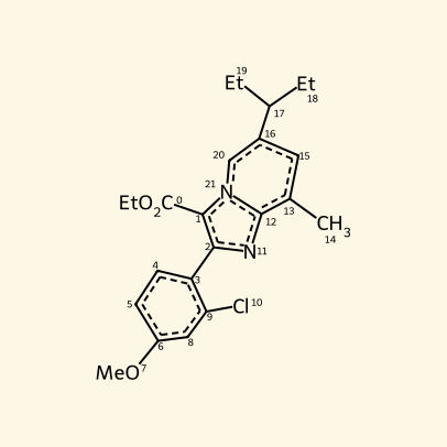 CCOC(=O)c1c(-c2ccc(OC)cc2Cl)nc2c(C)cc(C(CC)CC)cn12